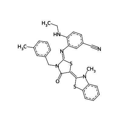 CCNc1ccc(C#N)cc1N=C1SC(=C2Sc3ccccc3N2C)C(=O)N1Cc1cccc(C)c1